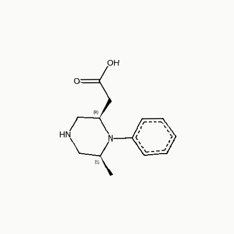 C[C@H]1CNC[C@@H](CC(=O)O)N1c1ccccc1